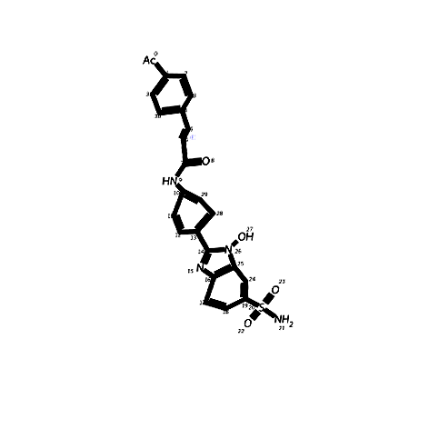 CC(=O)c1ccc(/C=C/C(=O)Nc2ccc(-c3nc4ccc(S(N)(=O)=O)cc4n3O)cc2)cc1